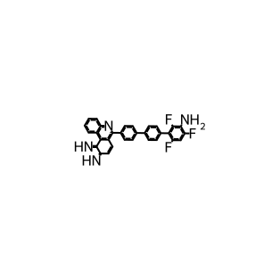 N=C1C=Cc2c(-c3ccc(-c4ccc(-c5c(F)cc(F)c(N)c5F)cc4)cc3)nc3ccccc3c2C1=N